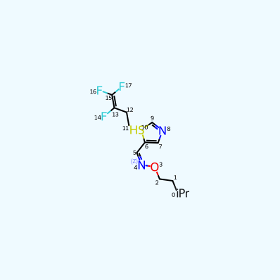 CC(C)CCO/N=C\C1=CN=C[SH]1CCC(F)=C(F)F